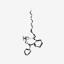 CCCCCCCCCC(O)c1ccccc1C(=O)c1ccccc1